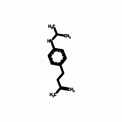 C=C(C)CCc1ccc(NC(C)C)cc1